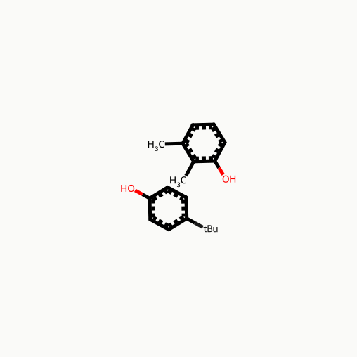 CC(C)(C)c1ccc(O)cc1.Cc1cccc(O)c1C